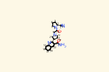 N#C[C@@H]1CCCN1C(=O)CN1CC[C@H](c2nc3ccccc3cc2C(N)=O)C1